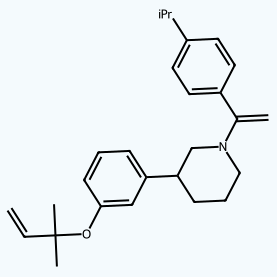 C=CC(C)(C)Oc1cccc(C2CCCN(C(=C)c3ccc(C(C)C)cc3)C2)c1